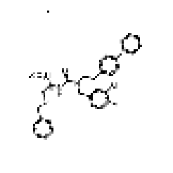 O=C(O)[C@H](COCc1ccccc1)NC(=O)N(CCc1ccc(-c2ccccc2)cc1)Cc1ccc(Cl)c(Cl)c1